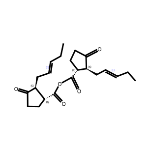 CC/C=C/C[C@@H]1C(=O)CC[C@H]1C(=O)OC(=O)[C@@H]1CCC(=O)[C@H]1C/C=C/CC